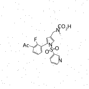 CC(=O)c1cccc(-c2cc(CN(C)C(=O)O)cn2S(=O)(=O)c2cccnc2)c1F